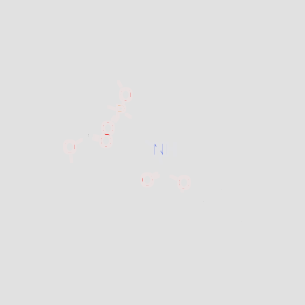 COC(=O)C(C)CP(=O)(CCNC(=O)OCc1ccccc1)OC